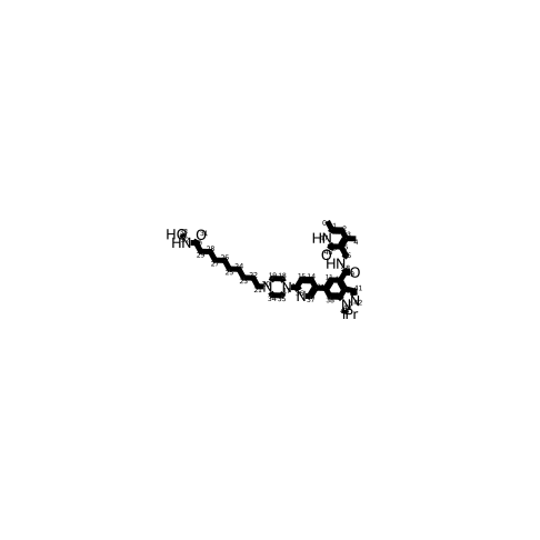 Cc1cc(C)c(CNC(=O)c2cc(-c3ccc(N4CCN(CCCCCCCCCC(=O)NO)CC4)nc3)cc3c2cnn3C(C)C)c(=O)[nH]1